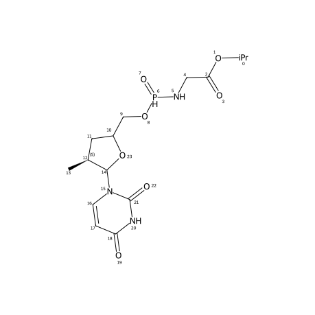 CC(C)OC(=O)CN[PH](=O)OCC1C[C@H](C)C(n2ccc(=O)[nH]c2=O)O1